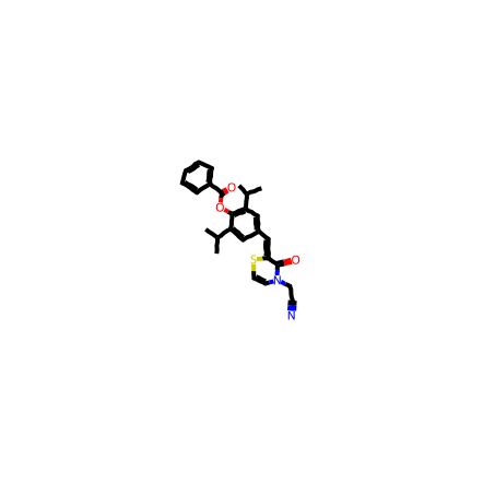 CC(C)c1cc(C=C2SC=CN(CC#N)C2=O)cc(C(C)C)c1OC(=O)c1ccccc1